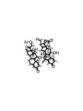 C=C1CC2C3CCC4=CC(=O)C=CC4(C)[C@@]3(F)C(O)CC2(C)[C@@]1(O)C(=O)COC(C)=O.CCC(=O)O[C@]1(C(=O)SCF)[C@H](C)C[C@H]2[C@@H]3C[C@H](F)C4=CC(=O)C=C[C@]4(C)[C@@]3(F)[C@@H](O)C[C@@]21C